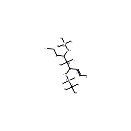 C/C=C/C(O[Si](C)(C)C(C)(C)C)C(C)(C)C(CCI)O[Si](C)(C)C